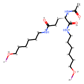 CCC(=O)N[C@@H](CCC(=O)NCCCCCCOI)C(=O)NCCCCCCOI